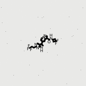 O=C(NC1CC(F)(F)C1)c1cnn2ccc(-c3c[nH]c4nc(CCC(F)(F)F)ncc34)cc12